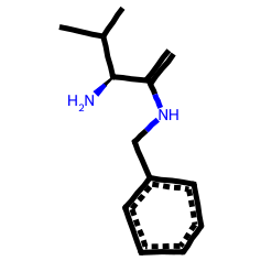 C=C(NCc1ccccc1)[C@@H](N)C(C)C